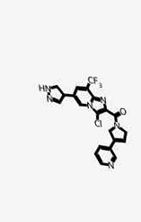 O=C(c1nc2c(C(F)(F)F)cc(C3C=NNC3)cn2c1Cl)N1CC=C(c2cccnc2)C1